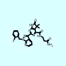 CC1(C)C(=O)Nc2nc(-c3nn(Cc4ccccc4F)c4ncccc34)nc(C(=O)NCCC(N)=O)c21